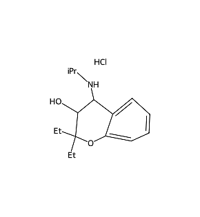 CCC1(CC)Oc2ccccc2C(NC(C)C)C1O.Cl